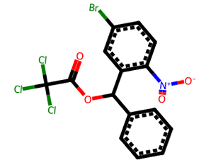 O=C(OC(c1ccccc1)c1cc(Br)ccc1[N+](=O)[O-])C(Cl)(Cl)Cl